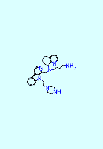 NCCCCN(Cc1nccc2c3ccccc3n(CCN3CCNCC3)c12)[C@H]1CCCc2cccnc21